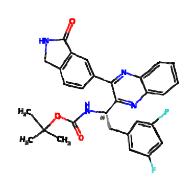 CC(C)(C)OC(=O)N[C@@H](Cc1cc(F)cc(F)c1)c1nc2ccccc2nc1-c1ccc2c(c1)C(=O)NC2